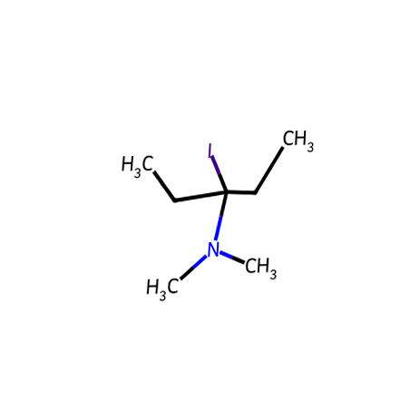 CCC(I)(CC)N(C)C